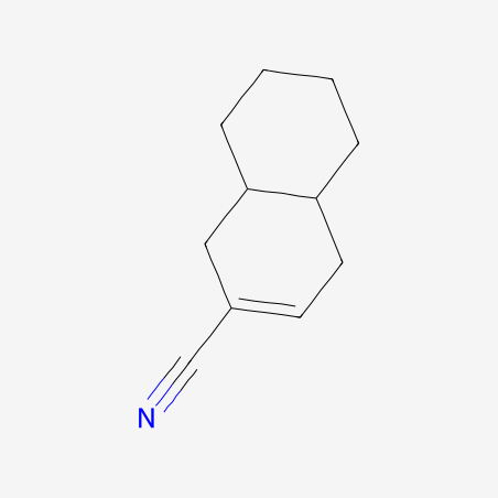 N#CC1=CCC2CCCCC2C1